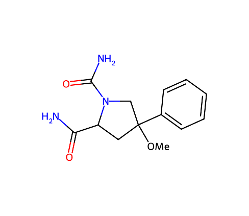 COC1(c2ccccc2)CC(C(N)=O)N(C(N)=O)C1